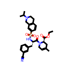 CCOC(=O)[C@H]1CC(C)=CCN1C(=O)[C@H](Cc1cccc(C#N)c1)NS(=O)(=O)c1ccc2c(c1)CN(C(C)C)CC2